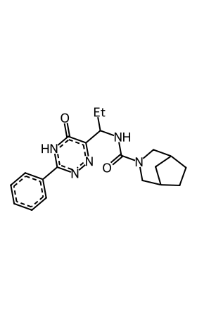 CCC(NC(=O)N1CC2CCC(C2)C1)c1nnc(-c2ccccc2)[nH]c1=O